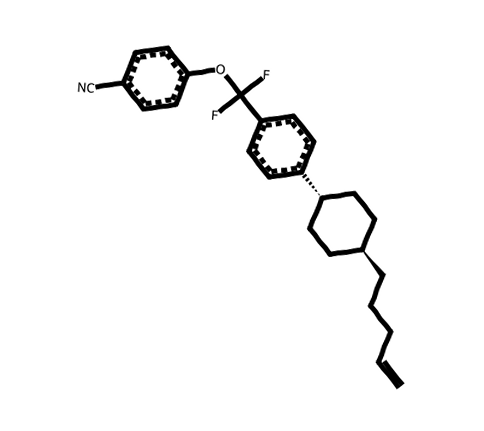 C=CCCC[C@H]1CC[C@H](c2ccc(C(F)(F)Oc3ccc(C#N)cc3)cc2)CC1